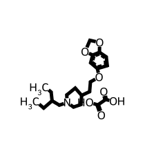 CCC(CC)CN1CCC(CCOc2ccc3c(c2)OCO3)CC1.O=C(O)C(=O)O